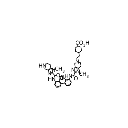 Cn1c(C(=O)Nc2cccc(-c3cccc(NC(=O)c4nc5c(n4C)CCN(CCC4CCC(C(=O)O)CC4)C5)c3Cl)c2Cl)nc2c1CCNC2